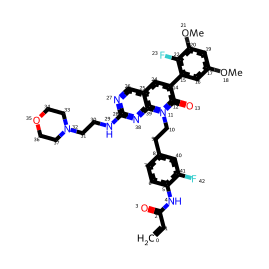 C=CC(=O)Nc1ccc(CCn2c(=O)c(-c3cc(OC)cc(OC)c3F)cc3cnc(NCCN4CCOCC4)nc32)cc1F